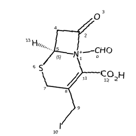 O=C[N+]12C(=O)C[C@@H]1SCC(CI)=C2C(=O)O